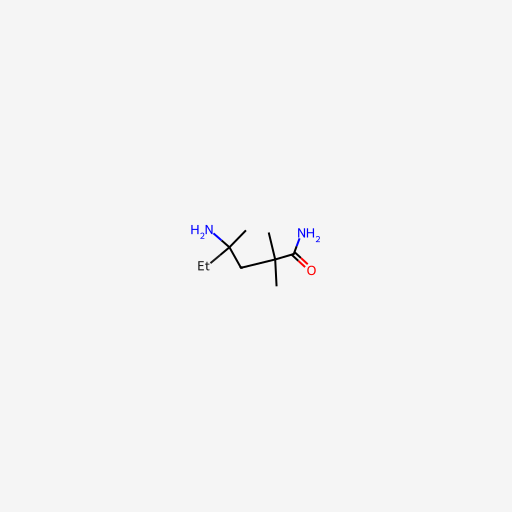 CCC(C)(N)CC(C)(C)C(N)=O